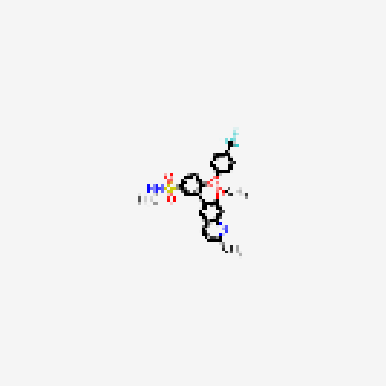 CNS(=O)(=O)c1ccc(Oc2ccc(C(F)(F)F)cc2)c(-c2cc3ccc(C)nc3cc2OC)c1